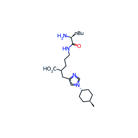 CCCC[C@H](N)C(=O)NCCCC(Cc1cn([C@H]2CC[C@H](C)CC2)cn1)C(=O)O